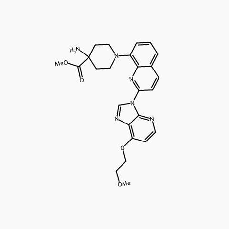 COCCOc1ccnc2c1ncn2-c1ccc2cccc(N3CCC(N)(C(=O)OC)CC3)c2n1